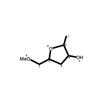 COCC1CC(O)C(C)O1